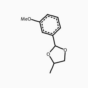 COc1cccc(C2OCC(C)O2)c1